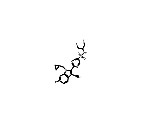 N#Cc1c(-c2ncc(S(=O)(=O)NC(CF)CF)cn2)n(CC2CC2)c2cc(F)ccc12